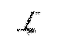 CCCCCCCCCCCCCCOCCCSCC(COP(=O)(O)O)OC